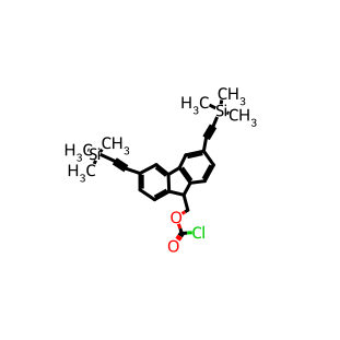 C[Si](C)(C)C#Cc1ccc2c(c1)-c1cc(C#C[Si](C)(C)C)ccc1C2COC(=O)Cl